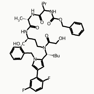 CC(C)C(NC(=O)OCc1ccccc1)C(=O)N[C@@H](C)C(=O)N[C@@H](CCN(C(=O)CO)[C@@H](c1cc(-c2cc(F)ccc2F)cn1Cc1ccccc1)C(C)(C)C)C(=O)O